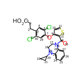 O=C(O)CCc1cc(Cl)c(Oc2ccsc2C(=O)N2CCN(C3CC3)c3ccccc32)cc1Cl